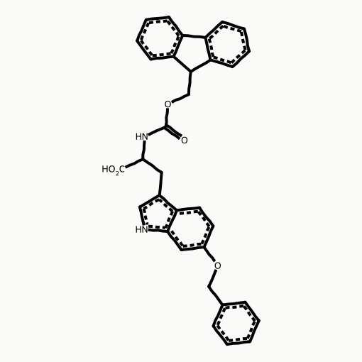 O=C(NC(Cc1c[nH]c2cc(OCc3ccccc3)ccc12)C(=O)O)OCC1c2ccccc2-c2ccccc21